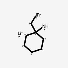 CC(C)CC1([NH-])CCCCC1.[Li+]